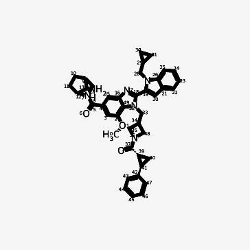 COc1cc(C(=O)N2CC3CCC2[C@@H]3N)cc2nc(-c3cc4ccccc4n3CC3CC3)n(CC3CN(C(=O)[C@@H]4C[C@H]4c4ccccc4)C3)c12